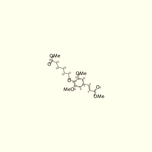 COC(=O)C=Cc1cc(OC)c(OCCCCCC(=O)OC)c(OC)c1